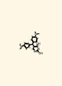 CN(C)c1ccc(C(c2ccc(N(C)C)cc2)c2cnc(O)nc2O)cc1